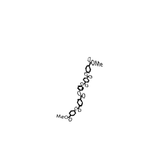 COC(=O)C1CCC(OC(=O)C2CCC(C(=O)Oc3ccc(OC(=O)C4CCC(C(=O)OC5CCC(C(=O)OC)CC5)CC4)cc3)CC2)CC1